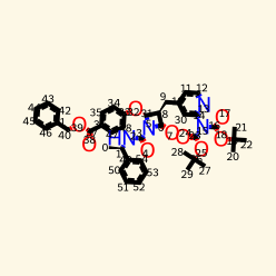 C[C@@H](NC(=O)N1C(=O)[C@H](Cc2ccnc(N(C(=O)OC(C)(C)C)C(=O)OC(C)(C)C)c2)[C@H]1Oc1ccc(C(=O)OCc2ccccc2)cc1)c1ccccc1